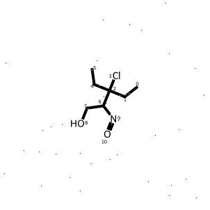 CCC(Cl)(CC)C(CO)N=O